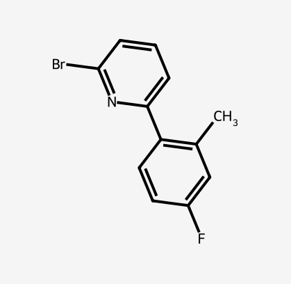 Cc1cc(F)ccc1-c1cccc(Br)n1